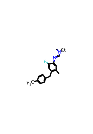 CCN(C)C=Nc1cc(C)c(Cc2ccc(C(F)(F)F)cc2)cc1F